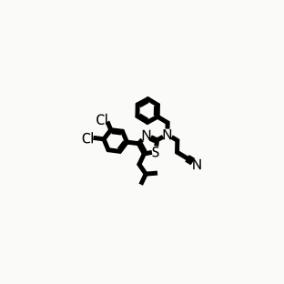 CC(C)Cc1sc(N(CCC#N)Cc2ccccc2)nc1C1=CCC(Cl)C(Cl)=C1